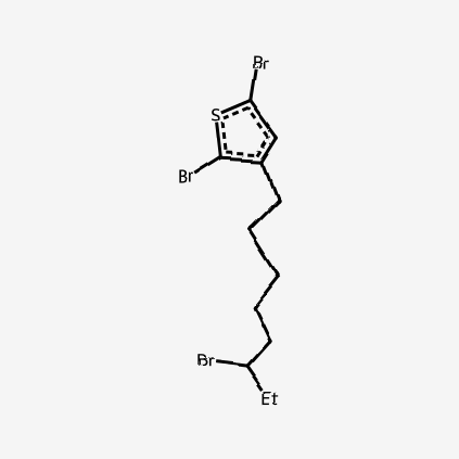 CCC(Br)CCCCCc1cc(Br)sc1Br